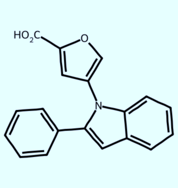 O=C(O)c1cc(-n2c(-c3ccccc3)cc3ccccc32)co1